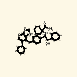 NC(=O)C1(NC(c2ccc(Cc3c(-c4ccccc4)cnc4nc[nH]c34)cc2)[C@@H](O)c2ccccc2)CCCCC1